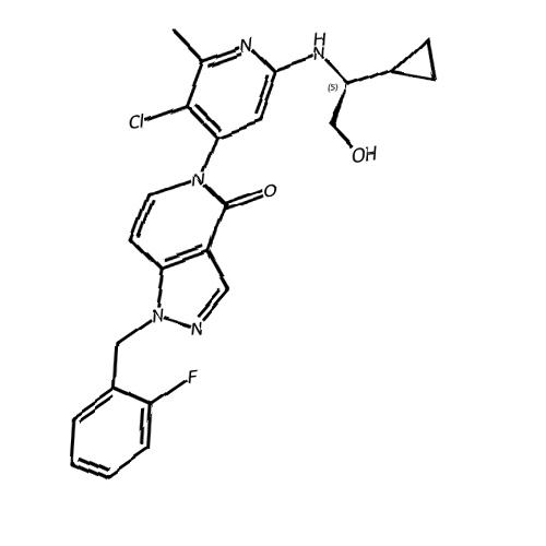 Cc1nc(N[C@H](CO)C2CC2)cc(-n2ccc3c(cnn3Cc3ccccc3F)c2=O)c1Cl